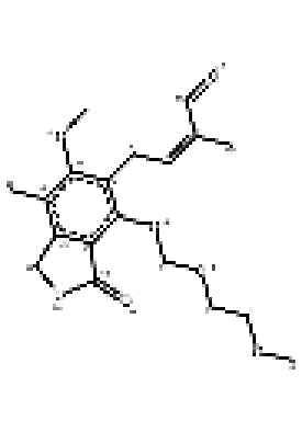 COCCOCOc1c(CC=C(C)C=O)c(OC)c(C)c2c1C(=O)OC2